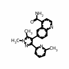 Cc1cccc(-c2nn(C)c(C)c2-c2ccc3nccc(C(N)=O)c3c2)n1